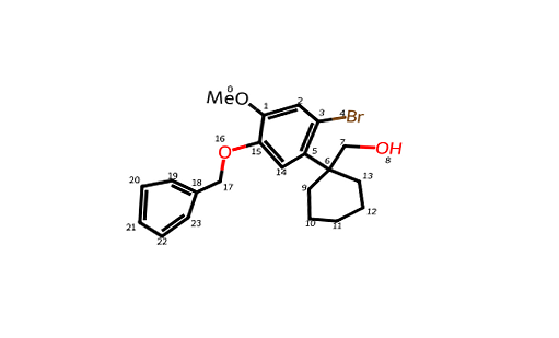 COc1cc(Br)c(C2(CO)CCCCC2)cc1OCc1ccccc1